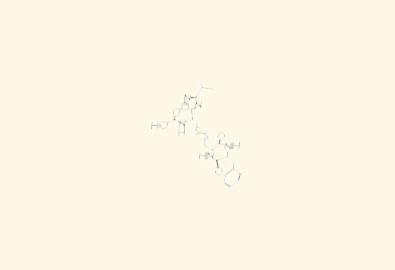 CC(C)c1noc([C@H](CSSC[C@@H]2NC(=O)[C@@H](Cc3ccccc3)NC2=O)NC(=O)O)n1